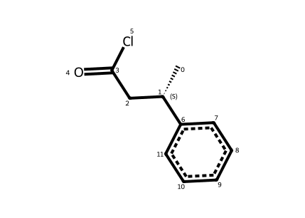 C[C@@H](CC(=O)Cl)c1ccccc1